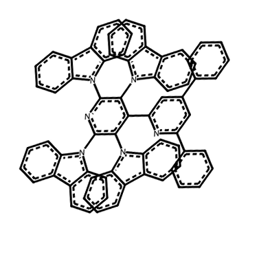 c1ccc(-c2cc(-c3ccccc3)nc(-c3c(-n4c5ccccc5c5ccccc54)c(-n4c5ccccc5c5ccccc54)nc(-n4c5ccccc5c5ccccc54)c3-n3c4ccccc4c4ccccc43)c2)cc1